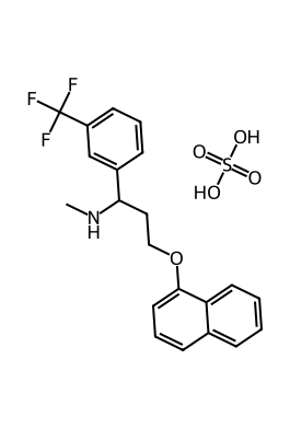 CNC(CCOc1cccc2ccccc12)c1cccc(C(F)(F)F)c1.O=S(=O)(O)O